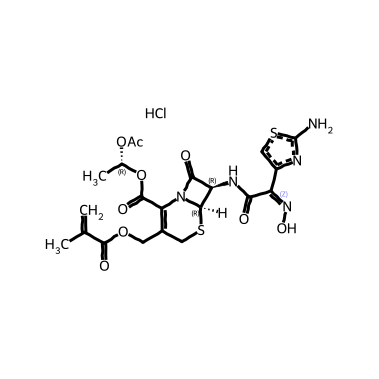 C=C(C)C(=O)OCC1=C(C(=O)O[C@H](C)OC(C)=O)N2C(=O)[C@@H](NC(=O)/C(=N\O)c3csc(N)n3)[C@H]2SC1.Cl